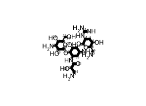 N=C(N)N[C@@H]1C[C@H](O)[C@@H](CN)O[C@@H]1O[C@H]1[C@H](O)[C@@H](O[C@H]2O[C@H](CO)[C@@H](O)[C@H](N)[C@H]2O)[C@H](NC(=O)[C@@H](O)CN)C[C@@H]1N